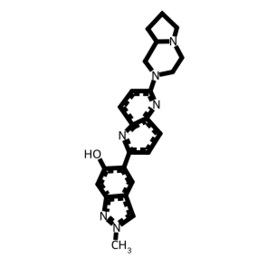 Cn1cc2cc(-c3ccc4nc(N5CCN6CCCC6C5)ccc4n3)c(O)cc2n1